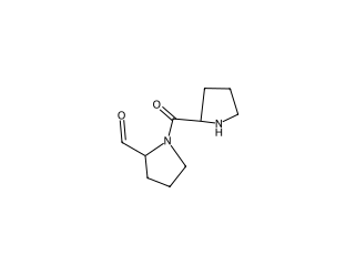 O=CC1CCCN1C(=O)C1CCCN1